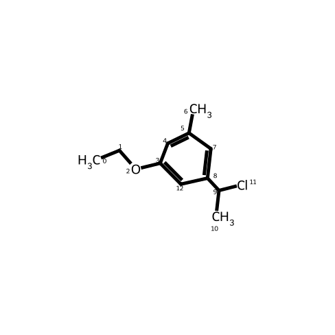 CCOc1[c]c(C)cc(C(C)Cl)c1